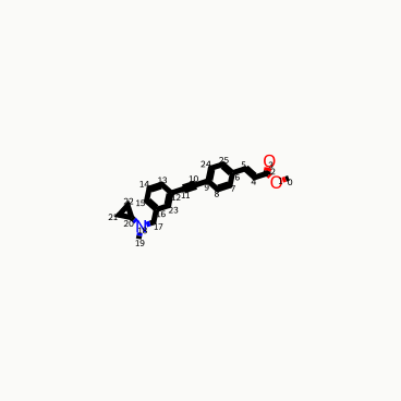 COC(=O)C=Cc1ccc(C#Cc2cccc(CN(C)C3CC3)c2)cc1